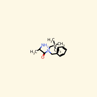 CC(N)C(=O)N(Cc1ccccc1)C[Si](C)(C)C